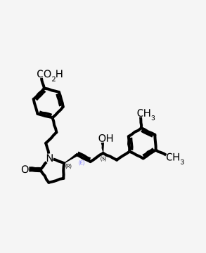 Cc1cc(C)cc(C[C@H](O)/C=C/[C@H]2CCC(=O)N2CCc2ccc(C(=O)O)cc2)c1